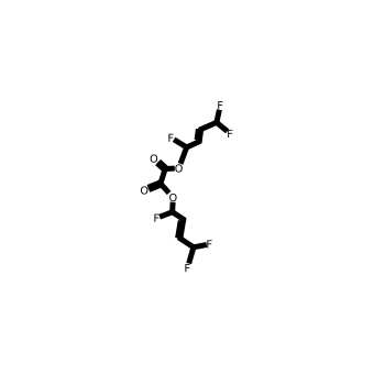 O=C(OC(F)C=CC(F)F)C(=O)OC(F)C=CC(F)F